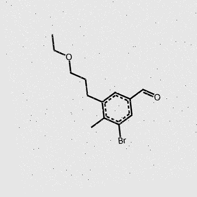 CCOCCCc1cc(C=O)cc(Br)c1C